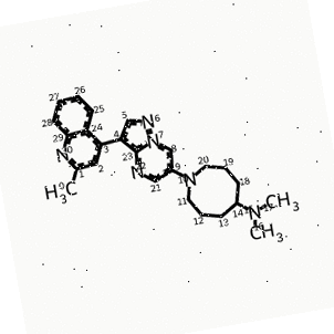 Cc1cc(-c2cnn3cc(N4CCCC(N(C)C)CCC4)cnc23)c2ccccc2n1